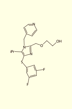 CC(C)c1c(Sc2cc(F)cc(F)c2)nc(COCCO)n1Cc1ccncc1